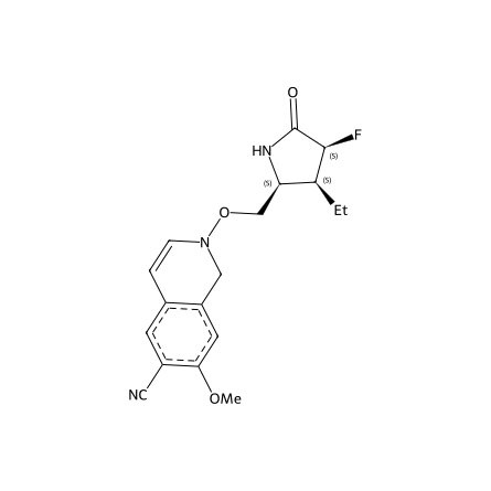 CC[C@@H]1[C@H](F)C(=O)N[C@@H]1CON1C=Cc2cc(C#N)c(OC)cc2C1